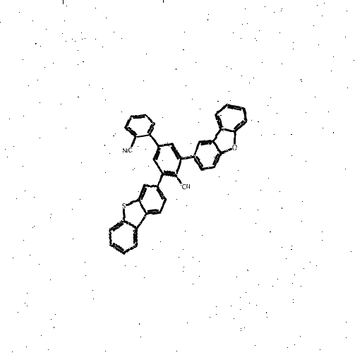 N#Cc1ccccc1-c1cc(-c2ccc3c(c2)sc2ccccc23)c(C#N)c(-c2ccc3oc4ccccc4c3c2)c1